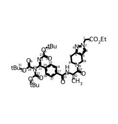 CCOC(=O)Cn1cc2c(n1)CCN(C(=O)[C@H](C)NC(=O)c1ccc(C(=NC(=O)OC(C)(C)C)N(C(=O)OC(C)(C)C)C(=O)OC(C)(C)C)cc1)C2